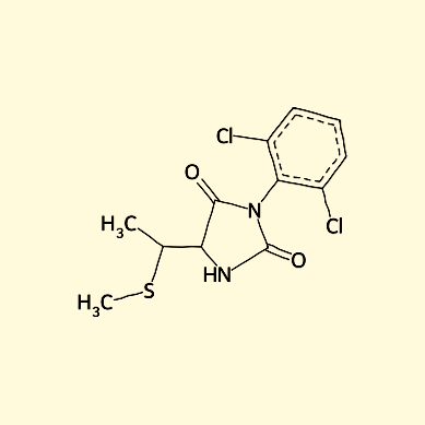 CSC(C)C1NC(=O)N(c2c(Cl)cccc2Cl)C1=O